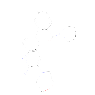 Cc1ccc(C(=O)N2CCCC2)c(-c2ccc3nc(N)c(N4CCOCC4)cc3c2)c1